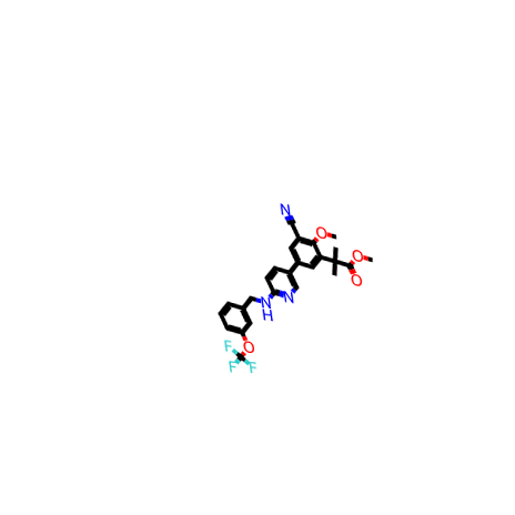 COC(=O)C(C)(C)c1cc(-c2ccc(NCc3cccc(OC(F)(F)F)c3)nc2)cc(C#N)c1OC